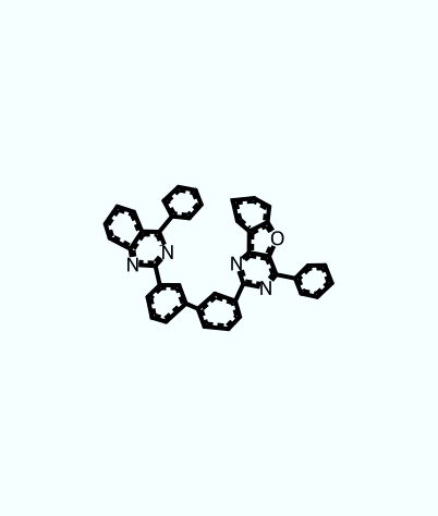 c1ccc(-c2nc(-c3cccc(-c4cccc(-c5nc(-c6ccccc6)c6oc7ccccc7c6n5)c4)c3)nc3ccccc23)cc1